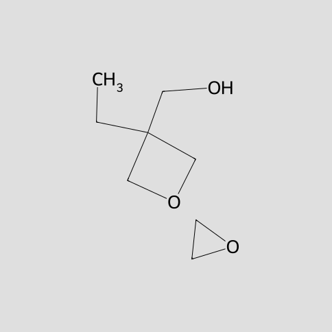 C1CO1.CCC1(CO)COC1